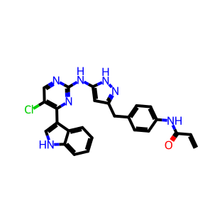 C=CC(=O)Nc1ccc(Cc2cc(Nc3ncc(Cl)c(-c4c[nH]c5ccccc45)n3)[nH]n2)cc1